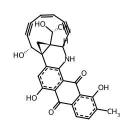 Cc1ccc2c(c1O)C(=O)c1c3c(cc(O)c1C2=O)[C@@]12C[C@@]1([C@@H](C)O)[C@H](C#C/C=C\C#C[C@H]2O)N3